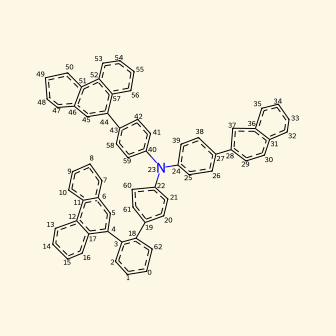 c1ccc(-c2cc3ccccc3c3ccccc23)c(-c2ccc(N(c3ccc(-c4ccc5ccccc5c4)cc3)c3ccc(-c4cc5ccccc5c5ccccc45)cc3)cc2)c1